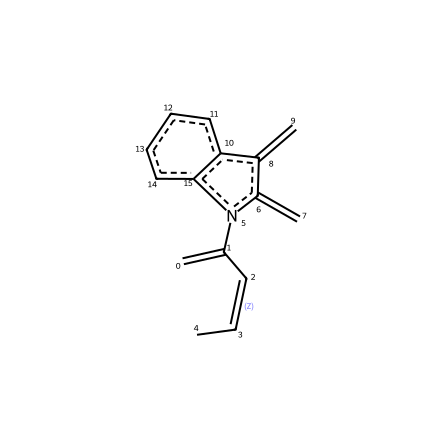 C=C(/C=C\C)n1c(=C)c(=C)c2ccccc21